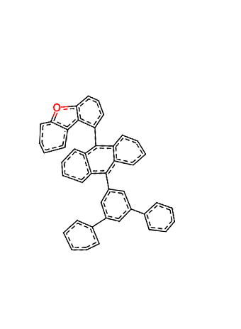 c1ccc(-c2cc(-c3ccccc3)cc(-c3c4ccccc4c(-c4cccc5oc6ccccc6c45)c4ccccc34)c2)cc1